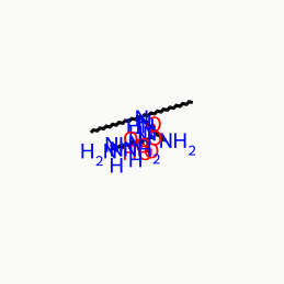 CCCCCCCCCCCCCCCCN(CCCCCCCCCCCCCCCC)CCNC(=O)C(CCCCN)NC(=O)C(CCC(=O)O)NC(=O)CNC(=O)C(N)CCCNC(=N)N